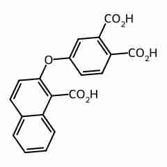 O=C(O)c1ccc(Oc2ccc3ccccc3c2C(=O)O)cc1C(=O)O